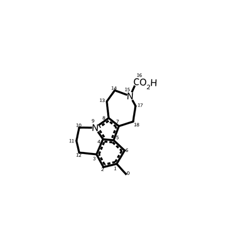 Cc1cc2c3c(c1)c1c(n3CCC2)CCN(C(=O)O)CC1